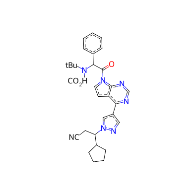 CC(C)(C)N(C(=O)O)C(C(=O)n1ccc2c(-c3cnn(C(CC#N)C4CCCC4)c3)ncnc21)c1ccccc1